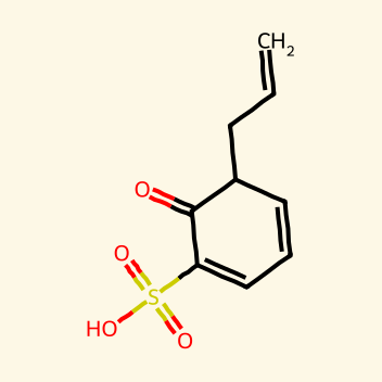 C=CCC1C=CC=C(S(=O)(=O)O)C1=O